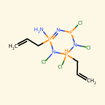 C=CCP1(N)=NP(Cl)N(Cl)[PH](Cl)(CC=C)N1Cl